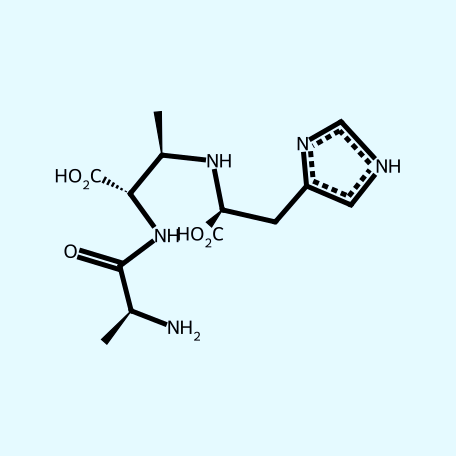 C[C@H](N)C(=O)N[C@H](C(=O)O)[C@@H](C)N[C@@H](Cc1c[nH]cn1)C(=O)O